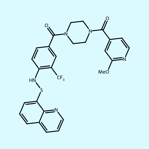 COc1cc(C(=O)N2CCN(C(=O)c3ccc(NSc4cccc5cccnc45)c(C(F)(F)F)c3)CC2)ccn1